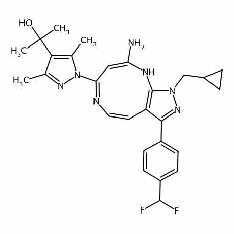 Cc1nn(-c2cc(N)[nH]c3c(ccn2)c(-c2ccc(C(F)F)cc2)nn3CC2CC2)c(C)c1C(C)(C)O